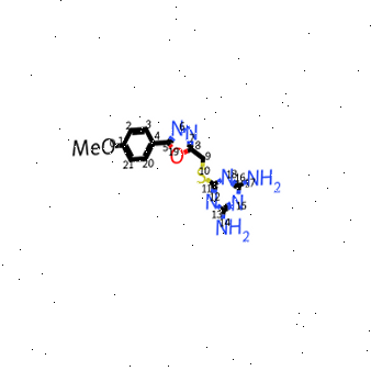 COc1ccc(-c2nnc(CSc3nc(N)nc(N)n3)o2)cc1